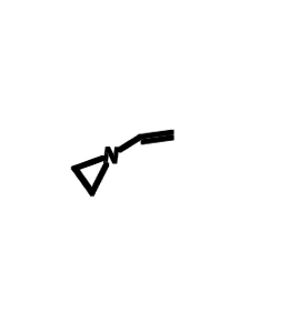 C=CN1CC1